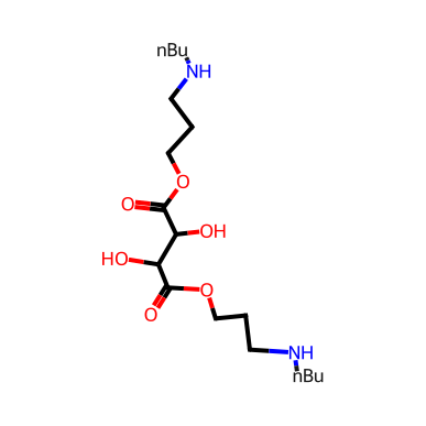 CCCCNCCCOC(=O)C(O)C(O)C(=O)OCCCNCCCC